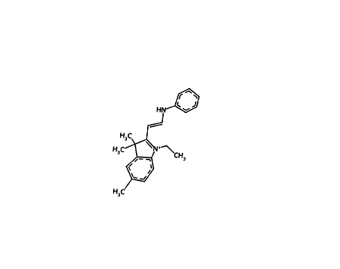 CC[N+]1=C(/C=C/Nc2ccccc2)C(C)(C)c2cc(C)ccc21